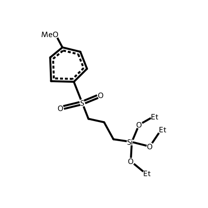 CCO[Si](CCCS(=O)(=O)c1ccc(OC)cc1)(OCC)OCC